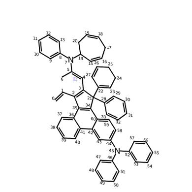 C=CC1=C(/C=C(\C)N(c2ccccc2)C2C=CCC=CC2)C(C2=CCCC=C2)(c2ccccc2)c2c1c1ccccc1c1cc(N(c3ccccc3)c3ccccc3)ccc21